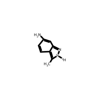 [2H]n1nc2cc(N)ccc2c1C